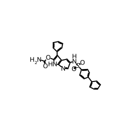 NC(=O)Oc1[nH]c2ncc(NS(=O)(=O)c3ccc(-c4ccccc4)cc3)cc2c1-c1ccccc1